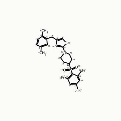 Cc1ccc(C)c(Cc2csc(N3CCC(S(=O)(=O)c4c(C(C)C)cc(C(C)C)cc4C(C)C)CC3)n2)c1